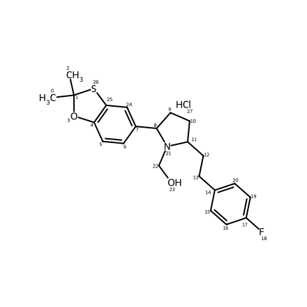 CC1(C)Oc2ccc(C3CCC(CCc4ccc(F)cc4)N3CO)cc2S1.Cl